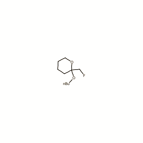 CCCCOC1(CF)CCCCO1